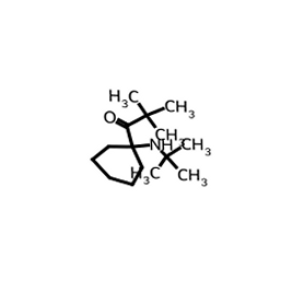 CC(C)(C)NC1(C(=O)C(C)(C)C)CCCCC1